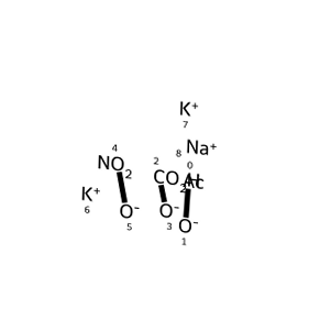 CC(=O)[O-].O=C([O-])O.O=[N+]([O-])[O-].[K+].[K+].[Na+]